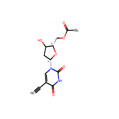 C#Cc1cn([C@@H]2CC(O)[C@H](COC(=O)C(C)(C)C)O2)c(=O)[nH]c1=O